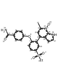 CCS(=O)(=O)c1ccc(Oc2ccc(C(N)=O)cc2)c(-c2cc(C)[n+]([O-])c3[nH]ccc23)c1